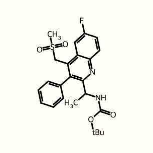 CC(NC(=O)OC(C)(C)C)c1nc2ccc(F)cc2c(CS(C)(=O)=O)c1-c1ccccc1